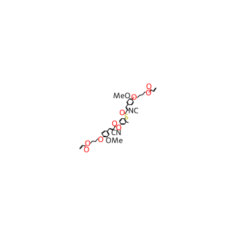 [C-]#[N+]/C(=C\c1ccc(OCCCCOC(=O)C=C)c(OC)c1)C(=O)Sc1ccc(OC(=O)/C(C#N)=C/c2ccc(OCCCCOC(=O)C=C)c(OC)c2)cc1C